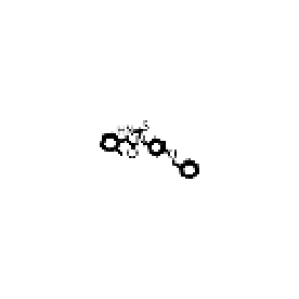 Cc1ccccc1C1NC(=S)N(c2ccc(OCc3ccccc3)cc2)C1=O